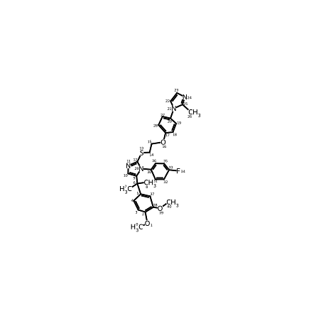 COc1ccc(C(C)(C)c2cnc(SCCOc3ccc(-n4ccnc4C)cc3)n2-c2ccc(F)cc2)cc1OC